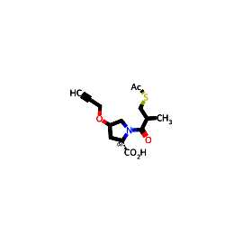 C#CCOC1C[C@@H](C(=O)O)N(C(=O)C(C)CSC(C)=O)C1